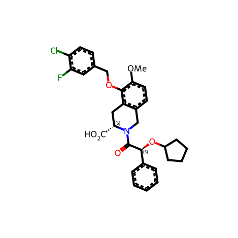 COc1ccc2c(c1OCc1ccc(Cl)c(F)c1)C[C@@H](C(=O)O)N(C(=O)[C@@H](OC1CCCC1)c1ccccc1)C2